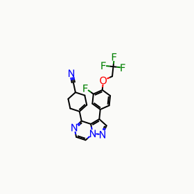 N#CC1CC=C(c2nccn3ncc(-c4ccc(OCC(F)(F)F)c(F)c4)c23)CC1